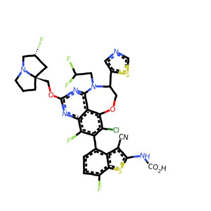 N#Cc1c(NC(=O)O)sc2c(F)ccc(-c3c(Cl)c4c5c(nc(OC[C@@]67CCCN6C[C@H](F)C7)nc5c3F)N(CC(F)F)C(c3cncs3)CO4)c12